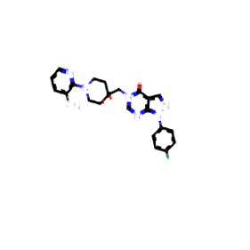 N#Cc1cccnc1N1CCC(O)(Cn2cnc3c(cnn3-c3ccc(F)cc3)c2=O)CC1